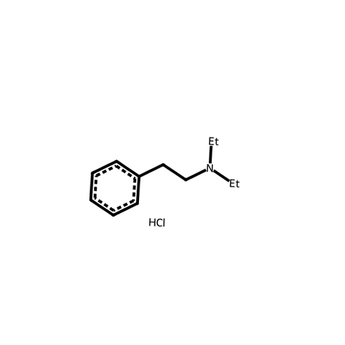 CCN(CC)CCc1ccccc1.Cl